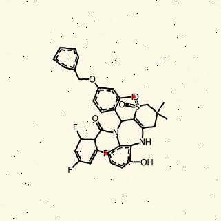 CC1(C)CC2=C(C(c3ccc(OCc4ccccc4)cc3F)N(C(=O)C3C(F)=CC(F)=CC3F)c3cccc(O)c3N2)S(=O)(=O)C1